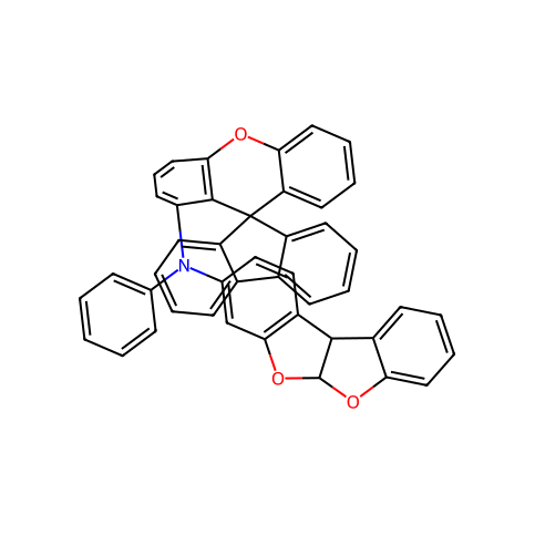 c1ccc(N(c2ccc3c(c2)OC2Oc4ccccc4C32)c2cccc3c2C2(c4ccccc4O3)c3ccccc3-c3ccccc32)cc1